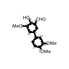 COc1ccc(-c2cc(C=O)c(O)c(OC)c2)cc1OC